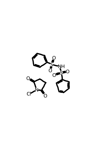 O=C1CCC(=O)N1Cl.O=S(=O)(NS(=O)(=O)c1ccccc1)c1ccccc1